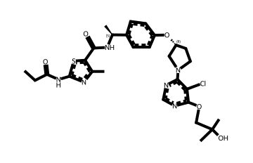 CCC(=O)Nc1nc(C)c(C(=O)N[C@@H](C)c2ccc(O[C@@H]3CCN(c4ncnc(OCC(C)(C)O)c4Cl)C3)cc2)s1